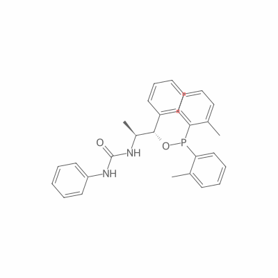 Cc1ccccc1P(O[C@@H](c1ccccc1)[C@H](C)NC(=O)Nc1ccccc1)c1ccccc1C